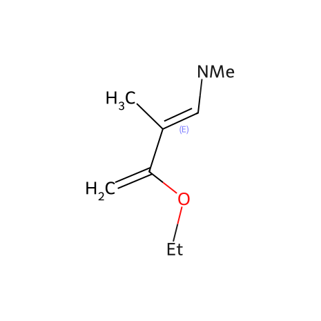 C=C(OCC)/C(C)=C/NC